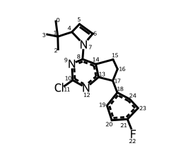 CC(C)(C)C1C=CN1c1nc(Cl)nc2c1CCC2c1ccc(F)cc1